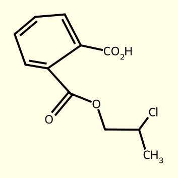 CC(Cl)COC(=O)c1ccccc1C(=O)O